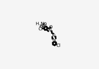 NS(=O)(=O)c1cc2c(cc1Cl)CN(CCCN1CCN(c3cccc(Cl)c3)CC1)C2=O